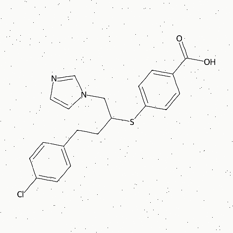 O=C(O)c1ccc(SC(CCc2ccc(Cl)cc2)Cn2ccnc2)cc1